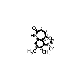 Cc1cc2[nH]c(=O)ccc(=O)c2c([N+](=O)[O-])c1C